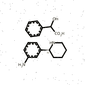 Nc1cccc([C@@H]2CCCCN2)c1.O=C(O)C(O)c1ccccc1